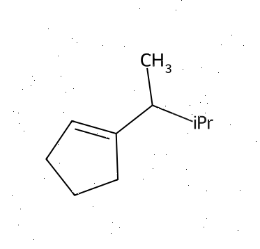 CC(C)C(C)C1=CCCC1